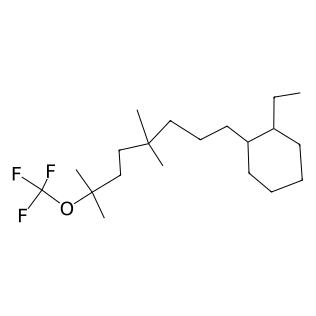 CCC1CCCCC1CCCC(C)(C)CCC(C)(C)OC(F)(F)F